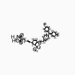 COC(=O)c1cc(C#CCCN(C(N)=O)C(=O)O)ccc1OCCN1CCN(C(c2ccc(F)cc2)c2ccc(F)cc2)CC1